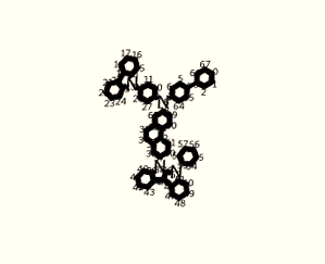 c1ccc(-c2ccc(N(c3ccc(-n4c5ccccc5c5ccccc54)cc3)c3ccc4c(ccc5cc(-n6c7ccccc7c7c8ccccc8n(-c8ccccc8)c76)ccc54)c3)cc2)cc1